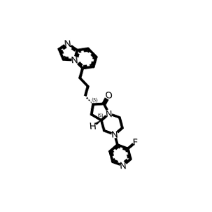 O=C1[C@@H](CCCc2cccc3nccn23)C[C@H]2CN(c3ccncc3F)CCN12